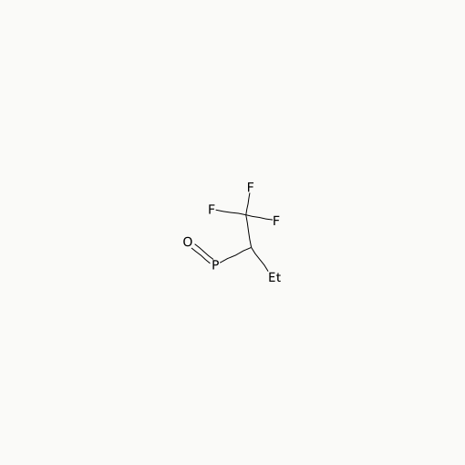 CCC(P=O)C(F)(F)F